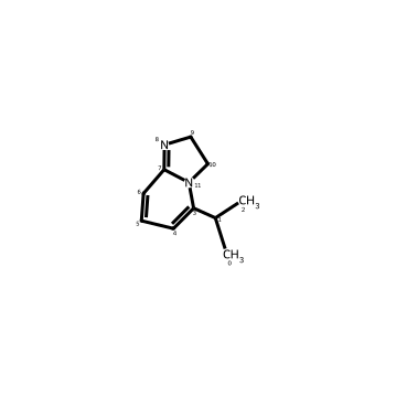 CC(C)C1=CC=CC2=NCCN12